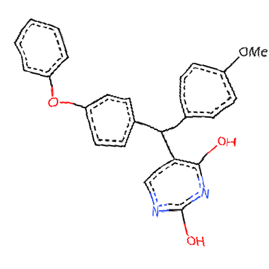 COc1ccc(C(c2ccc(Oc3ccccc3)cc2)c2cnc(O)nc2O)cc1